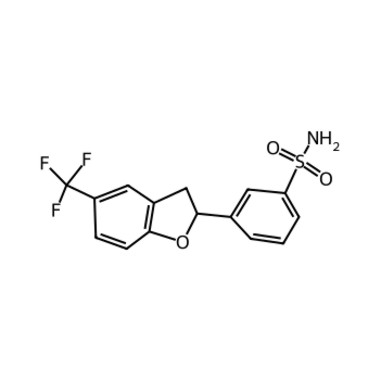 NS(=O)(=O)c1cccc(C2Cc3cc(C(F)(F)F)ccc3O2)c1